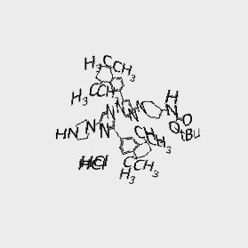 CC(C)(C)OC(=O)NC1CCN(c2cc(-c3ccc4c(c3)C(C)(C)CCC4(C)C)ncn2)CC1.CC1(C)CCC(C)(C)c2cc(-c3cncc(N4CCNCC4)n3)ccc21.Cl.Cl